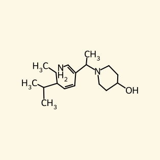 CCC(/C=C\C(=C/N)C(C)N1CCC(O)CC1)C(C)C